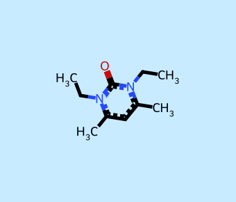 CCn1c(C)cc(C)[n+](CC)c1=O